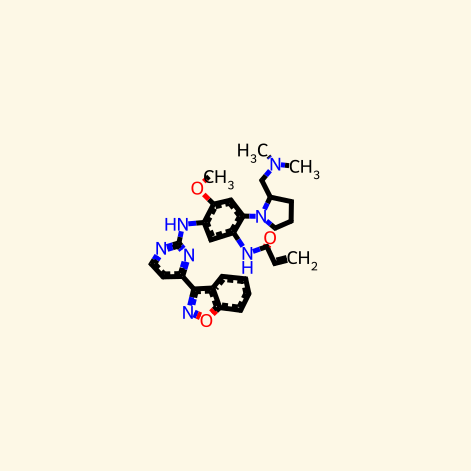 C=CC(=O)Nc1cc(Nc2nccc(-c3noc4ccccc34)n2)c(OC)cc1N1CCCC1CN(C)C